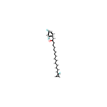 O=C(CCCCCCCCCCCCCCC1(F)CC1)Cc1ccc(F)cc1F